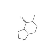 CC1CCC2CCCC2C1=O